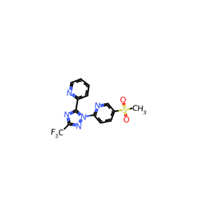 CS(=O)(=O)c1ccc(-n2nc(C(F)(F)F)nc2-c2ccccn2)nc1